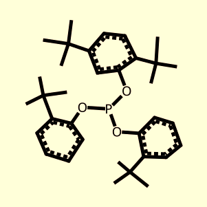 CC(C)(C)c1ccc(C(C)(C)C)c(OP(Oc2ccccc2C(C)(C)C)Oc2ccccc2C(C)(C)C)c1